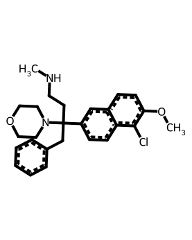 CNCCC(Cc1ccccc1)(c1ccc2c(Cl)c(OC)ccc2c1)N1CCOCC1